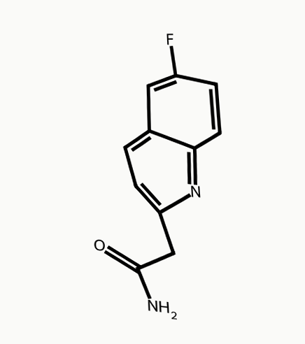 NC(=O)Cc1ccc2cc(F)ccc2n1